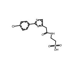 O=C(Cc1csc(-c2ccc(Cl)cc2)n1)NCCS(=O)(=O)O